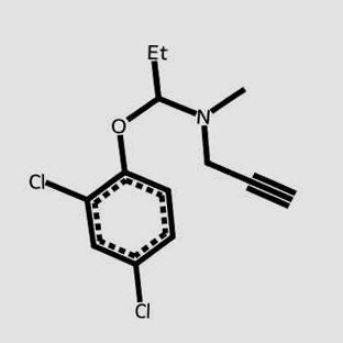 C#CCN(C)C(CC)Oc1ccc(Cl)cc1Cl